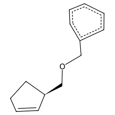 C1=C[C@H](COCc2ccccc2)CC1